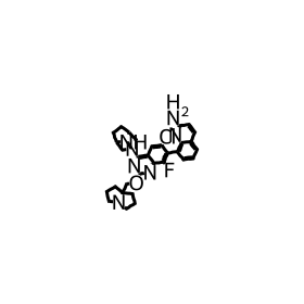 Nc1ccc2cccc(-c3c(Cl)cc4c(N5CC6CCC(C5)N6)nc(OCC56CCCN5CCC6)nc4c3F)c2n1